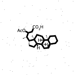 CC(=O)OC(CC(=O)O)[C@@H](C)[C@H]1CC[C@H]2[C@@H]3CC=C4CCCC[C@]4(C)[C@H]3CC[C@]12C